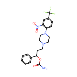 NC(=O)OC(CCN1CCN(c2ccc(C(F)(F)F)cc2[N+](=O)[O-])CC1)c1ccccc1